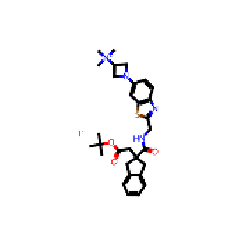 CC(C)(C)OC(=O)CC1(C(=O)NCc2nc3ccc(N4CC([N+](C)(C)C)C4)cc3s2)Cc2ccccc2C1.[I-]